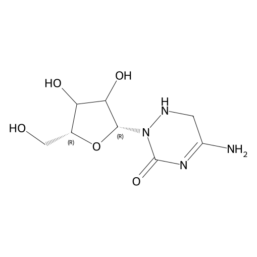 NC1=NC(=O)N([C@@H]2O[C@H](CO)C(O)C2O)NC1